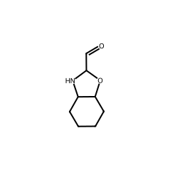 O=CC1NC2CCCCC2O1